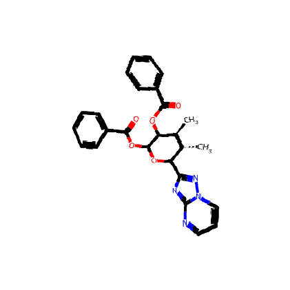 C[C@@H]1C(c2nc3ncccn3n2)OC(OC(=O)c2ccccc2)C(OC(=O)c2ccccc2)[C@H]1C